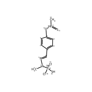 CN(N=Cc1ccc(O[PH](C)=S)cc1)[PH](S)(Cl)Cl